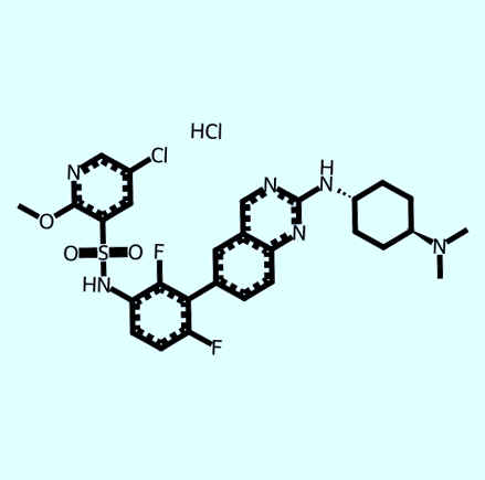 COc1ncc(Cl)cc1S(=O)(=O)Nc1ccc(F)c(-c2ccc3nc(N[C@H]4CC[C@H](N(C)C)CC4)ncc3c2)c1F.Cl